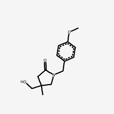 COc1ccc(CN2CC(C)(CO)CC2=O)cc1